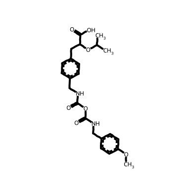 COc1ccc(CNC(=O)OC(=O)NCc2ccc(CC(OC(C)C)C(=O)O)cc2)cc1